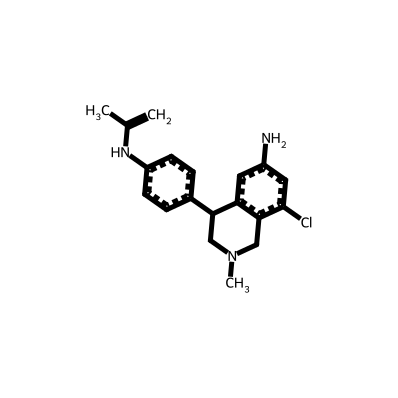 C=C(C)Nc1ccc(C2CN(C)Cc3c(Cl)cc(N)cc32)cc1